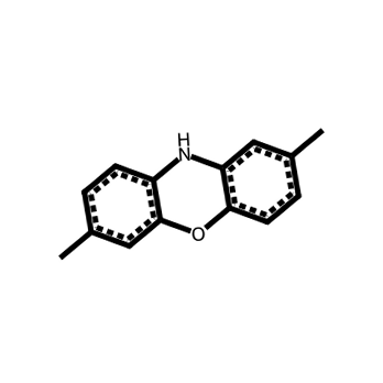 Cc1ccc2c(c1)Nc1ccc(C)cc1O2